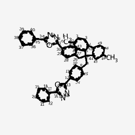 Cc1ccc2c(c1)C(Cc1ccc(-c3nnc(-c4ccccc4)o3)cc1)(Cc1ccc(-c3nnc(-c4ccccc4)o3)cc1)c1cc(C)ccc1-2